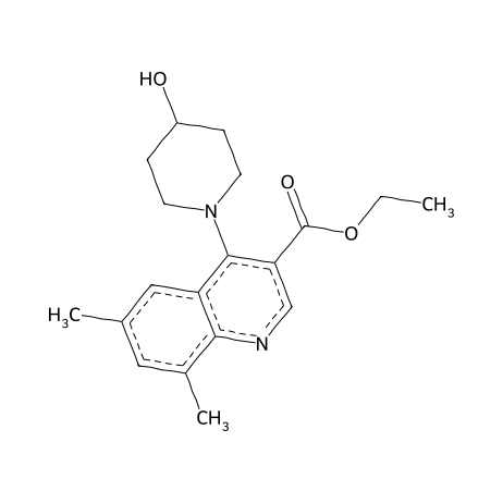 CCOC(=O)c1cnc2c(C)cc(C)cc2c1N1CCC(O)CC1